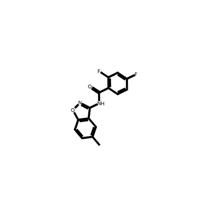 Cc1ccc2onc(NC(=O)c3ccc(F)cc3F)c2c1